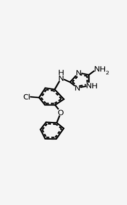 Nc1nc(Nc2cc(Cl)cc(Oc3ccccc3)c2)n[nH]1